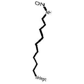 CCCCCCCCCCCCCCCCNN=O